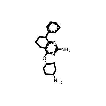 Nc1nc(O[C@H]2CC[C@H](N)CC2)c2c(n1)C(c1ccccc1)CCC2